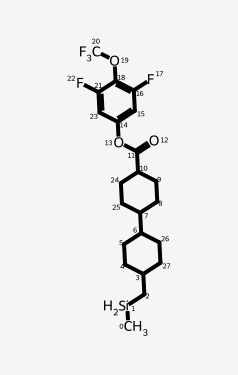 C[SiH2]CC1CCC(C2CCC(C(=O)Oc3cc(F)c(OC(F)(F)F)c(F)c3)CC2)CC1